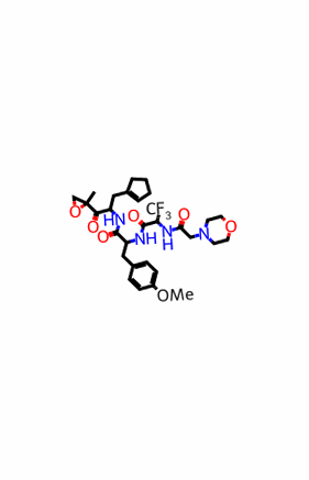 COc1ccc(CC(NC(=O)C(NC(=O)CN2CCOCC2)C(F)(F)F)C(=O)NC(CC2=CCCC2)C(=O)C2(C)CO2)cc1